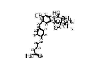 CC(C)(O)[C@]12CO[C@](c3ccc(Cl)c(Cc4ccc(OCCCC(=O)O)cc4)c3)(C[C@@H](O)[C@@H]1O)O2